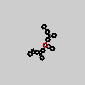 CC1(C)c2ccccc2-c2cc3c(cc21)c1cc(-c2ccc(-c4ccc(N(c5ccccc5)c5ccc(-c6ccccc6)cc5)cc4)c4c2C2c5ccccc5C4c4ccccc42)ccc1n3-c1ccccc1